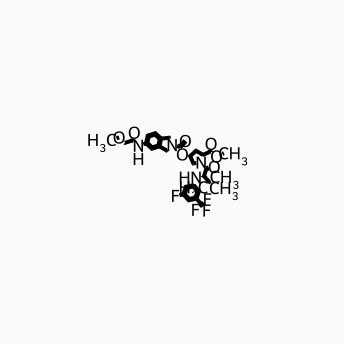 COCC(=O)Nc1ccc2c(c1)CN(C(=O)O[C@@H]1CC(C(=O)OC)N(C(=O)[C@@H](Nc3cc(F)cc(C(F)(F)F)c3)C(C)(C)C)C1)C2